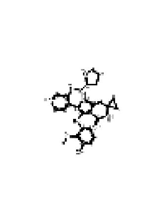 COc1c(Cl)cccc1Nc1c(-c2ccncc2OC[C@@H]2CCCO2)[nH]c2c1C(=O)NC1(CC1)C2